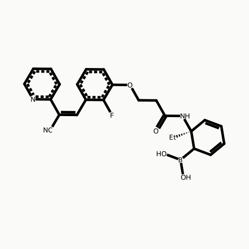 CC[C@]1(NC(=O)CCOc2cccc(C=C(C#N)c3ccccn3)c2F)C=CC=CC1B(O)O